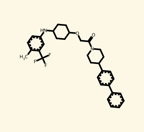 Cc1ccc(NC2CCC(OCC(=O)N3CCC(c4ccc(-c5ccccc5)cc4)CC3)CC2)cc1C(F)(F)F